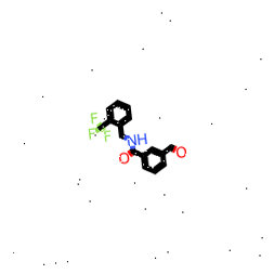 O=Cc1cccc(C(=O)NCc2ccccc2C(F)(F)F)c1